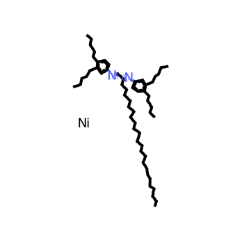 CCCCCCCCCCCCCCCCCCCCCCCC(/C=N/c1ccc(CCCCC)c(CCCCC)c1)=N\c1ccc(CCCCC)c(CCCCC)c1.[Ni]